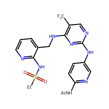 CCS(=O)(=O)Nc1ncccc1CNc1nc(Nc2ccc(NC(C)=O)nc2)ncc1C(F)(F)F